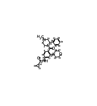 CN1CCN(C(=O)c2ccc(NC(=O)C3CC3)cc2N2CCOCC2)C(c2ccccc2)C1